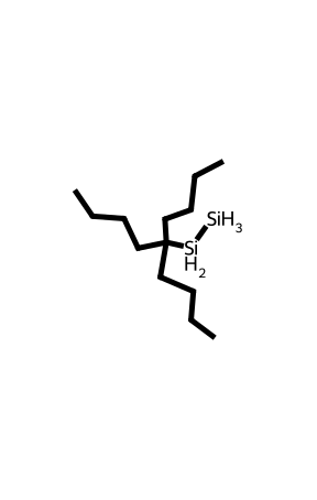 CCCCC(CCCC)(CCCC)[SiH2][SiH3]